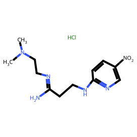 CN(C)CCN=C(N)CCNc1ccc([N+](=O)[O-])cn1.Cl